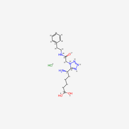 Cl.N[C@H](CCCCB(O)O)c1nnnn1CC(=O)NCCc1ccccc1